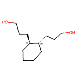 OCCC[C@@H]1CCCC[C@H]1CCCO